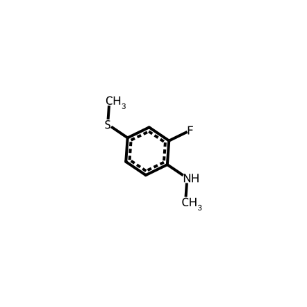 CNc1ccc(SC)cc1F